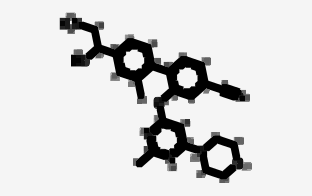 Cc1nc(Oc2cc(C#N)ccc2-c2ccc(C(O)CN)cc2C)cc(N2CCOCC2)n1